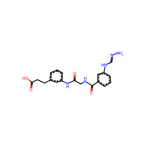 NN=CNc1cccc(C(=O)NCC(=O)Nc2cccc(CCC(=O)O)c2)c1